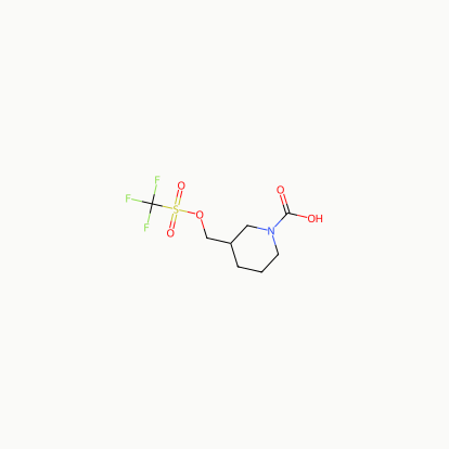 O=C(O)N1CCCC(COS(=O)(=O)C(F)(F)F)C1